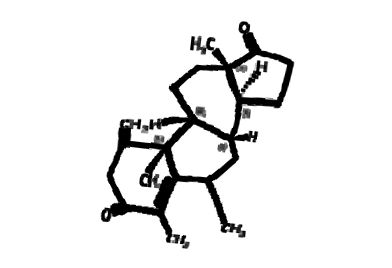 C=C1CC(=O)C(C)=C2C(C)C[C@@H]3[C@@H](CC[C@]4(C)C(=O)CC[C@@H]34)[C@@]12C